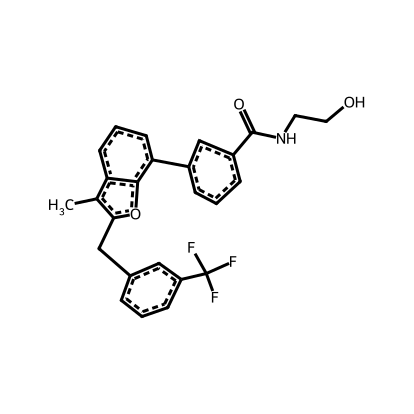 Cc1c(Cc2cccc(C(F)(F)F)c2)oc2c(-c3cccc(C(=O)NCCO)c3)cccc12